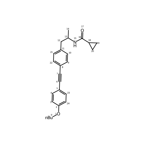 CCCCOc1ccc(C#Cc2ccc(CC(C)NC(=O)C3CC3)cc2)cc1